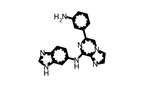 Nc1cccc(-c2cn3ccnc3c(Nc3ccc4nc[nH]c4c3)n2)c1